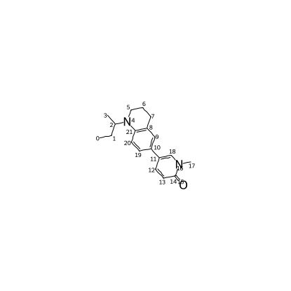 CCC(C)N1CCCc2cc(-c3ccc(=O)n(C)c3)ccc21